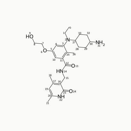 CCN(c1cc(OCCO)cc(C(=O)NCc2c(C)cc(C)[nH]c2=O)c1C)C1CCC(N)CC1